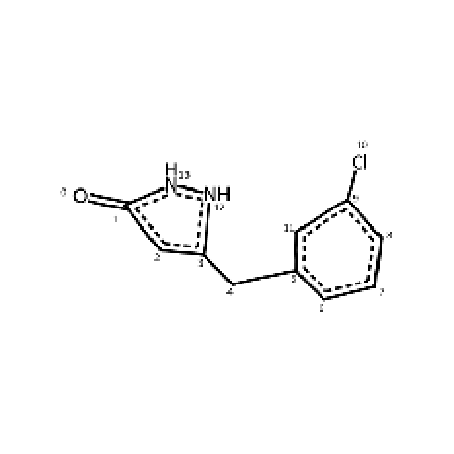 O=c1cc(Cc2cccc(Cl)c2)[nH][nH]1